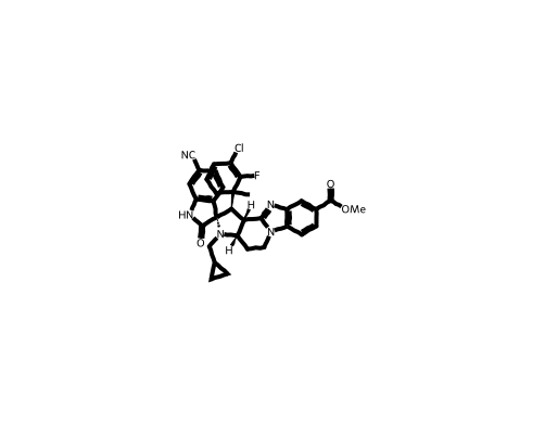 COC(=O)c1ccc2c(c1)nc1n2CC[C@H]2[C@@H]1[C@H](C1(C)CC=CC(Cl)=C1F)[C@]1(C(=O)Nc3cc(C#N)ccc31)N2CC1CC1